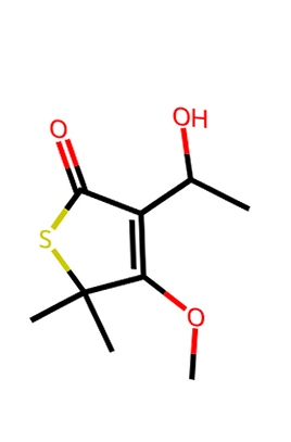 COC1=C(C(C)O)C(=O)SC1(C)C